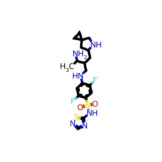 CC(N)C(CNc1cc(F)c(S(=O)(=O)Nc2ncns2)cc1F)CC1CC2(CC2)CN1